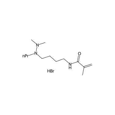 Br.C=C(C)C(=O)NCCCCN(CCC)N(C)C